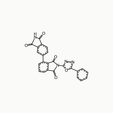 O=C1NC(=O)c2cc(-c3cccc4c3C(=O)N(c3nnc(-c5ccccc5)o3)C4=O)ccc21